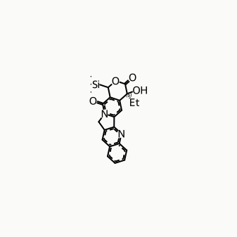 CC[C@@]1(O)C(=O)OC([Si])c2c1cc1n(c2=O)Cc2cc3ccccc3nc2-1